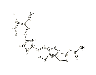 N#Cc1cc(-c2nc(-c3ccc4c(c3)cc3n4CCC3CC(=O)O)no2)ccc1F